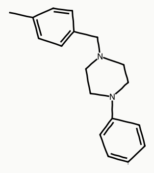 Cc1ccc(CN2CCN(c3cc[c]cc3)CC2)cc1